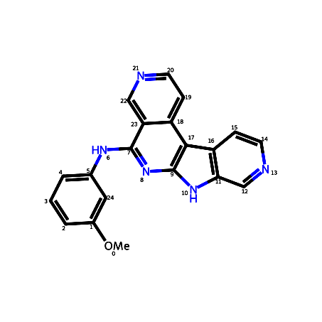 COc1cccc(Nc2nc3[nH]c4cnccc4c3c3ccncc23)c1